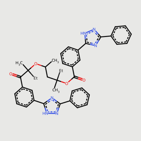 CCC(C)(CC(C)OC(C)(CC)C(=O)c1cccc(-c2nc(-c3ccccc3)n[nH]2)c1)OC(=O)c1cccc(-c2nc(-c3ccccc3)n[nH]2)c1